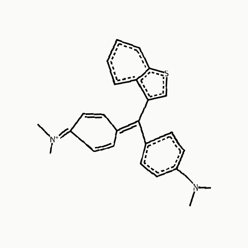 CN(C)c1ccc(C(=C2C=CC(=[N+](C)C)C=C2)c2csc3ccccc23)cc1